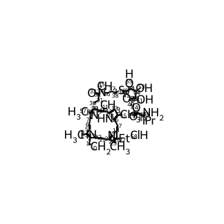 C=Cc1c(C)c2cc3nc(c(C)c4cc(C)c(cc5nc(cc1[nH]2)C(C)=C5CC)[nH]4)[C@@H](CCC(=O)N(C)CCCS[C@@H]1O[C@H](COC(=O)[C@@H](N)C(C)C)[C@@H](O)[C@H](O)[C@H]1O)[C@@H]3C.Cl